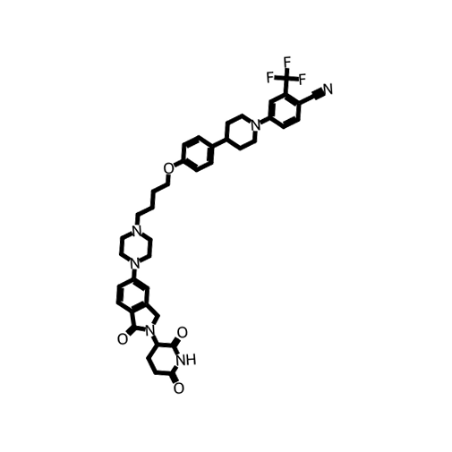 N#Cc1ccc(N2CCC(c3ccc(OCCCCN4CCN(c5ccc6c(c5)CN(C5CCC(=O)NC5=O)C6=O)CC4)cc3)CC2)cc1C(F)(F)F